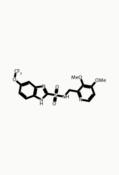 COc1ccnc(CNS(=O)(=O)c2nc3cc(OC(F)(F)F)ccc3[nH]2)c1OC